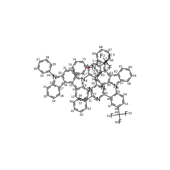 FC(F)(F)c1ccc(-n2c3ccccc3c3c4c5ccccc5n(-c5ccccc5)c4ccc32)c(-c2nc(-c3ccccc3)nc(-c3cc(C(F)(F)F)ccc3-n3c4ccccc4c4c5c6ccccc6n(-c6ccccc6)c5ccc43)n2)c1